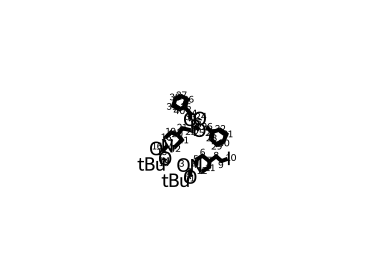 CC(C)(C)OC(=O)N1CCC(CCI)CC1.CC(C)(C)OC(=O)N1CCC(CCP(=O)(OCc2ccccc2)OCc2ccccc2)CC1